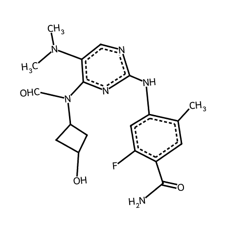 Cc1cc(C(N)=O)c(F)cc1Nc1ncc(N(C)C)c(N(C=O)C2CC(O)C2)n1